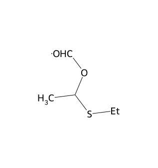 CCSC(C)O[C]=O